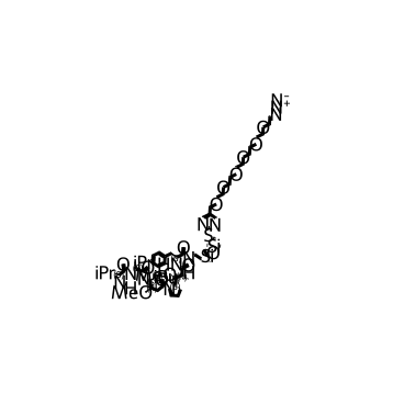 CC[C@H](C)[C@@H]([C@@H](CC(=O)N1CCC[C@H]1[C@H](OC)[C@@H](C)C(=O)N[C@@H](Cc1ccccc1)C(=O)NCC[Si](C)(C)O[Si](C)(C)CSc1ncc(COCCOCCOCCOCCOCCOCCN=[N+]=[N-])cn1)OC)N(C)C(=O)[C@@H](NC(=O)[C@H](C(C)C)N(C)C)C(C)C